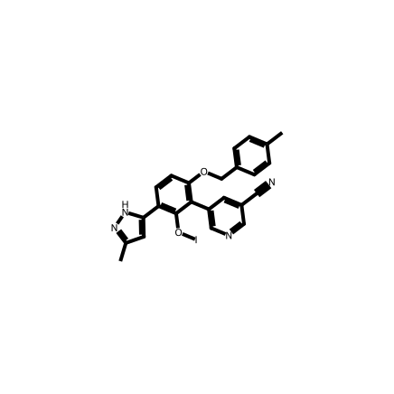 Cc1ccc(COc2ccc(-c3cc(C)n[nH]3)c(OI)c2-c2cncc(C#N)c2)cc1